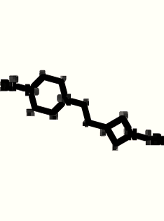 CCCCN1CC(CCN2CCN(C(C)(C)C)CC2)C1